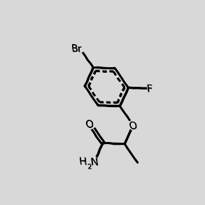 CC(Oc1ccc(Br)cc1F)C(N)=O